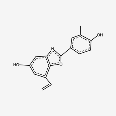 C=Cc1cc(O)cc2nc(-c3ccc(O)c(C)c3)oc12